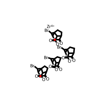 O=C1OC2C(Br)C23CCC1C3C(=O)[O-].O=C1OC2C(Br)C23CCC1C3C(=O)[O-].O=C1OC2C(Br)C23CCC1C3C(=O)[O-].O=C1OC2C(Br)C23CCC1C3C(=O)[O-].[Zr+4]